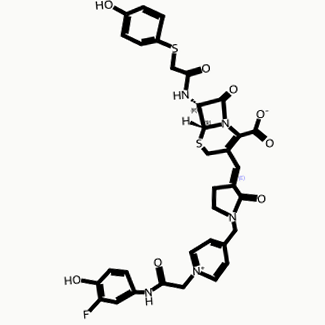 O=C(C[n+]1ccc(CN2CC/C(=C\C3=C(C(=O)[O-])N4C(=O)[C@@H](NC(=O)CSc5ccc(O)cc5)[C@H]4SC3)C2=O)cc1)Nc1ccc(O)c(F)c1